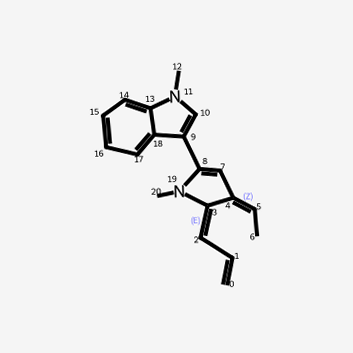 C=C/C=c1\c(=C/C)cc(-c2cn(C)c3ccccc23)n1C